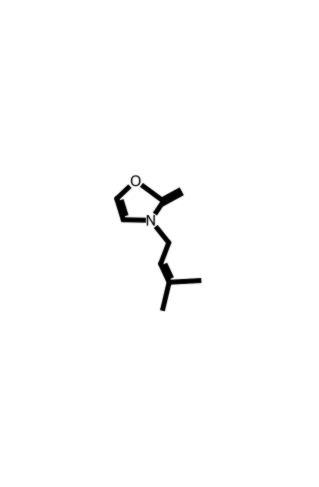 C=C1OC=CN1CC=C(C)C